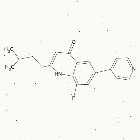 CC(C)CCc1cc(=O)c2cc(-c3ccncc3)cc(F)c2[nH]1